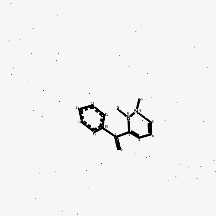 C=C(C1=CC=CN(C)B1C)c1ccccc1